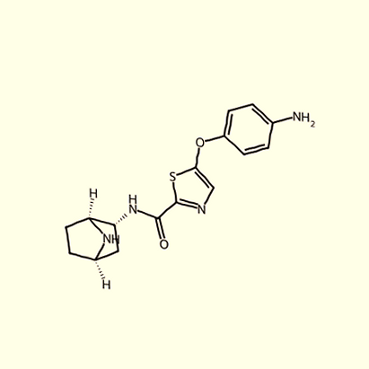 Nc1ccc(Oc2cnc(C(=O)N[C@@H]3C[C@H]4CC[C@@H]3N4)s2)cc1